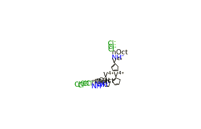 CCCCCCCC[NH-].CCCCCCCC[NH-].CCCCCCCC[NH-].CCCCCCCC[NH-].[Cl-].[Cl-].[Cl-].[Cl-].[Cl-].[Cl-].[Cl-].[Cl-].[V+4][C]1=CC=CC1.[V+4][C]1=CC=CC1.[V+4][C]1=CC=CC1